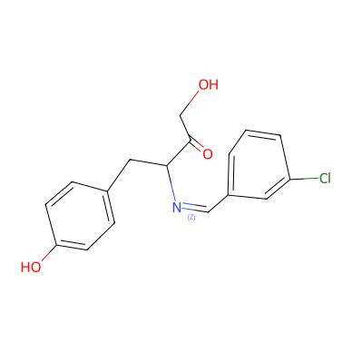 O=C(CO)C(Cc1ccc(O)cc1)/N=C\c1cccc(Cl)c1